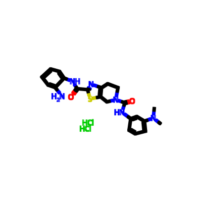 CN(C)c1cccc(NC(=O)N2CCc3nc(C(=O)Nc4ccccc4N)sc3C2)c1.Cl.Cl